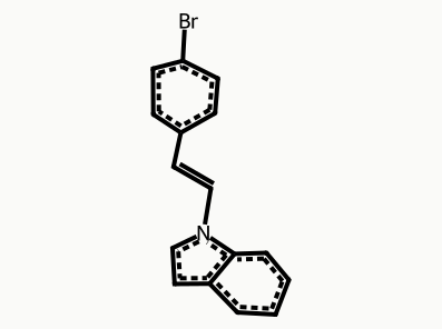 Brc1ccc(C=Cn2ccc3ccccc32)cc1